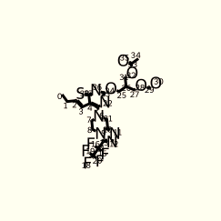 CCc1cc2c(N3CCn4c(nnc4C(F)(F)C(F)(F)F)C3)nc(OCC(COC=O)COC(C)=O)nc2s1